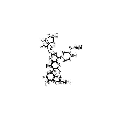 Cc1nc2c(N3CCN[C@@H](CC#N)C3)nc(OC[C@@]34CCCN3C[C@H](F)C4)nc2c(F)c1-c1ccc(F)c2oc(N)nc12